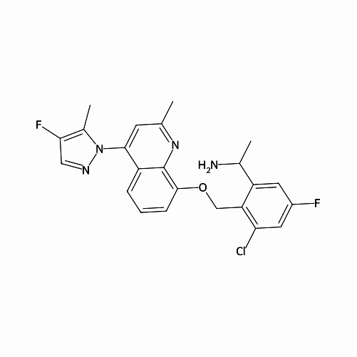 Cc1cc(-n2ncc(F)c2C)c2cccc(OCc3c(Cl)cc(F)cc3C(C)N)c2n1